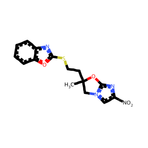 CC1(CCSc2nc3ccccc3o2)Cn2cc([N+](=O)[O-])nc2O1